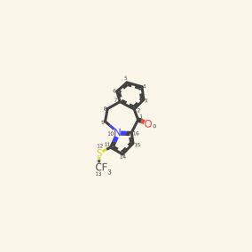 O=C1c2ccccc2CCn2c(SC(F)(F)F)ccc21